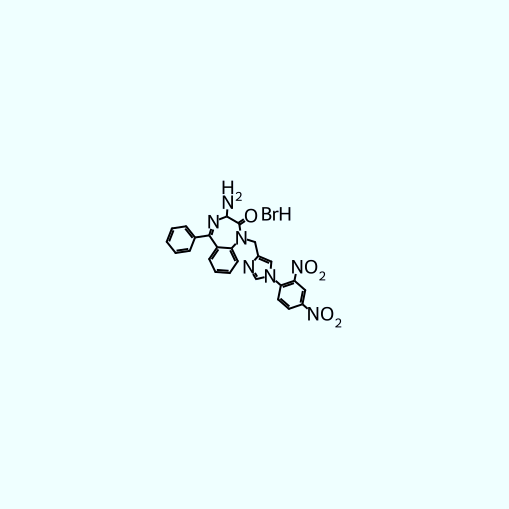 Br.NC1N=C(c2ccccc2)c2ccccc2N(Cc2cn(-c3ccc([N+](=O)[O-])cc3[N+](=O)[O-])cn2)C1=O